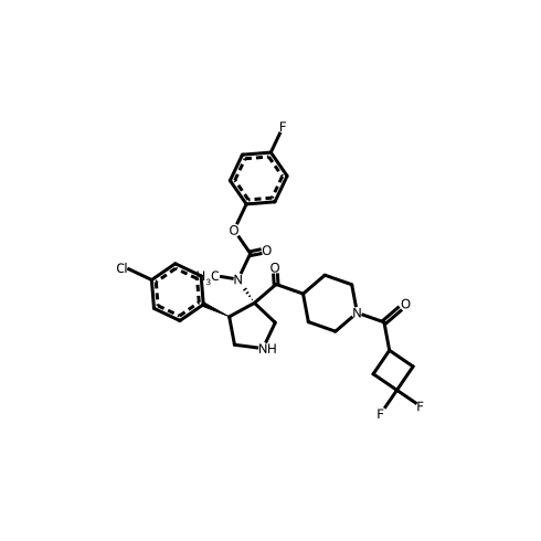 CN(C(=O)Oc1ccc(F)cc1)[C@]1(C(=O)C2CCN(C(=O)C3CC(F)(F)C3)CC2)CNC[C@H]1c1ccc(Cl)cc1